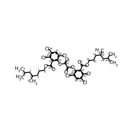 CC(C)CC(C)CCCOC(=O)c1c(Cl)c(Cl)cc(Cl)c1OC(=O)C(=O)Oc1c(Cl)cc(Cl)c(Cl)c1C(=O)OCCCC(C)CC(C)C